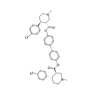 CN1CC[C@H](c2ccc(Cl)cc2)[C@@H](C(=O)Oc2ccc(-c3ccc(OC(=O)[C@H]4CN(C)CC[C@@H]4c4ccc(Cl)cc4)cc3)cc2)C1